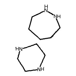 C1CCNNCC1.C1CNCCN1